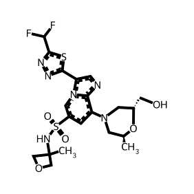 C[C@H]1CN(c2cc(S(=O)(=O)NC3(C)COC3)cn3c(-c4nnc(C(F)F)s4)cnc23)C[C@H](CO)O1